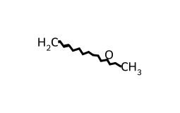 C=CC=CCCCCCCCC(=O)CCCC